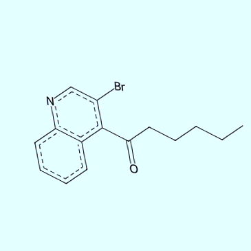 CCCCCC(=O)c1c(Br)cnc2ccccc12